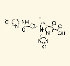 COc1ccc(NC(=O)C2CN(c3nc4c(cc3F)c(=O)c(C(=O)O)cn4-c3nc(Cl)ns3)C2)nc1